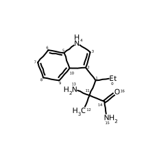 CCC(c1c[nH]c2ccccc12)C(C)(N)C(N)=O